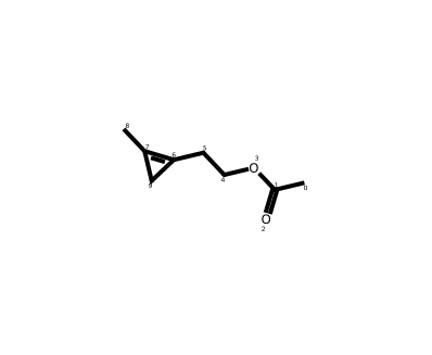 CC(=O)OCCC1=C(C)C1